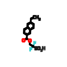 C=Cc1ccc2cc(C(=O)OCC(F)(F)S(=O)(=O)O)ccc2c1